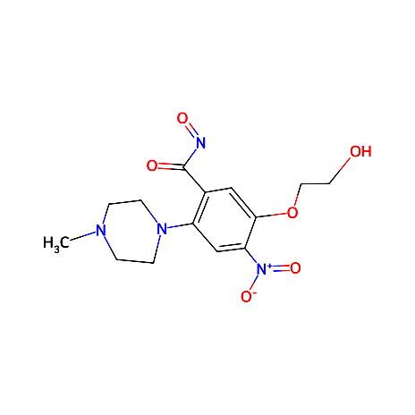 CN1CCN(c2cc([N+](=O)[O-])c(OCCO)cc2C(=O)N=O)CC1